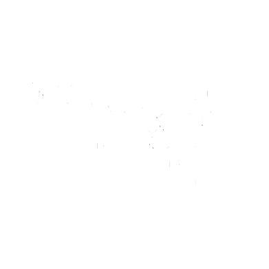 CCOC(=O)C1=C(C)N=c2s/c(=C\c3ccc(OCc4ccc([N+](=O)[O-])cc4)c(OCC)c3)c(=O)n2C1c1ccc(OC)c(OC)c1